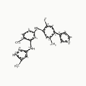 Cc1cc(Nc2nc(Nc3cc(C)c(-c4ccoc4)cc3F)ncc2Cl)n[nH]1